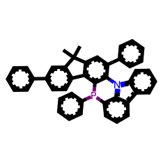 CC1(C)c2cc(-c3ccccc3)ccc2-c2c1cc(-c1ccccc1)c1c2P(c2ccccc2)c2cccc3c4ccccc4n-1c23